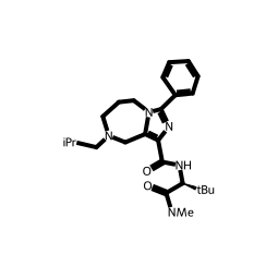 CNC(=O)[C@@H](NC(=O)c1nc(-c2ccccc2)n2c1CN(CC(C)C)CCC2)C(C)(C)C